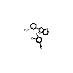 N#Cc1ccc(O[C@@H]2c3cccnc3C[C@@H]2N2CCC[C@@H](N)C2)c(Cl)c1